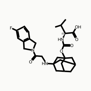 CC(C)[C@H](NC(=O)OC12CC3CC(CC(NCC(=O)N4Cc5ccc(F)cc5C4)(C3)C1)C2)C(=O)O